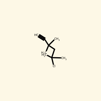 C#CC(C)(C)CC(C)(C)Cl